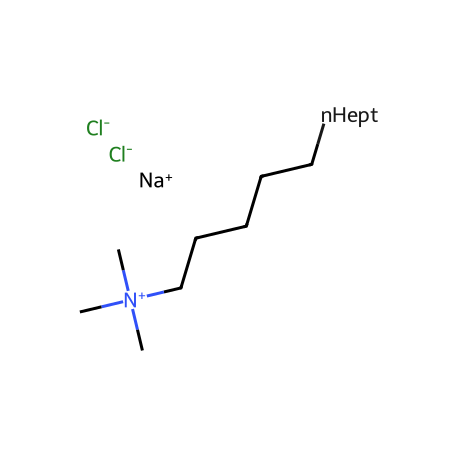 CCCCCCCCCCCC[N+](C)(C)C.[Cl-].[Cl-].[Na+]